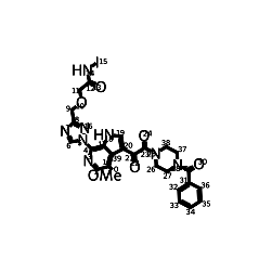 COc1cnc(-n2cnc(COCC(=O)NI)n2)c2[nH]cc(C(=O)C(=O)N3CCN(C(=O)c4ccccc4)CC3)c12